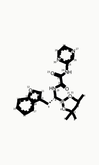 CC1CC(C)(C)OB([C@H](Cc2coc3ccccc23)NC(=O)C(=O)Nc2cnccn2)O1